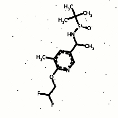 Cc1cc(C(C)N[S@+]([O-])C(C)(C)C)cnc1OCC(F)F